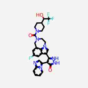 O=C(N1CCC(C(O)C(F)(F)F)CC1)N1CCn2cc(-c3[nH][nH]c(=O)c3-c3cnc4ccccn34)c3cc(F)cc(c32)C1